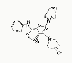 [O-][S+]1CCN(c2nc(N3CCNCC3)nc3c(Nc4ccccc4)ncnc23)CC1